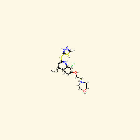 COc1cc(Sc2nnc(C)s2)nc2c(Cl)c(OCCN3CCOCC3)ccc12